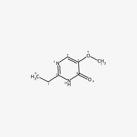 CCc1ncc(OC)c(=O)[nH]1